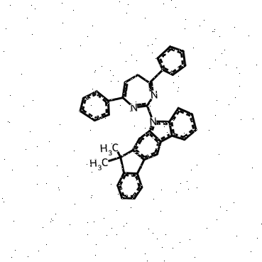 CC1(C)c2ccccc2-c2cc3c4ccccc4n(C4=NC(c5ccccc5)=CCC(c5ccccc5)=N4)c3cc21